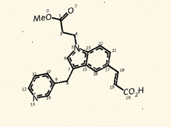 COC(=O)CCn1cc(Cc2cccnc2)c2cc(C=CC(=O)O)ccc21